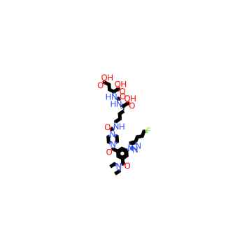 CCN(CC)C(=O)c1cc(C(=O)N2CCN(C(=O)NCCCC[C@H](NC(=O)NC(CCC(=O)O)C(=O)O)C(=O)O)CC2)cc(-n2cc(CCCF)nn2)c1